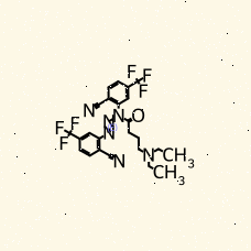 CCN(CC)CCCC(=O)N(/N=N/c1cc(C(F)(F)F)ccc1C#N)c1cc(C(F)(F)F)ccc1C#N